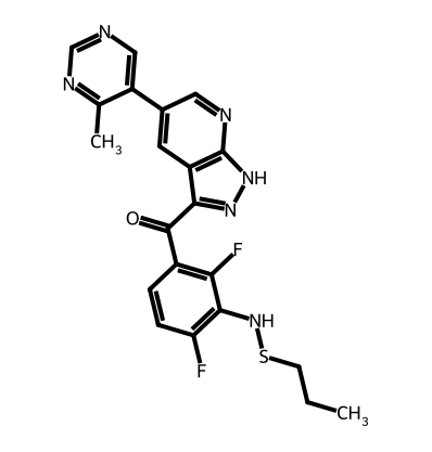 CCCSNc1c(F)ccc(C(=O)c2n[nH]c3ncc(-c4cncnc4C)cc23)c1F